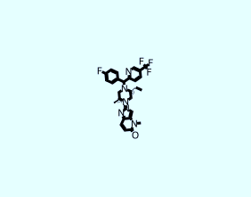 CC[C@@H]1CN(n2cc3c(ccc(=O)n3C)n2)[C@@H](C)CN1C(c1ccc(F)cc1)c1ccc(C(F)(F)F)cn1